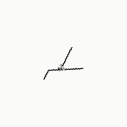 CCCCCCCC/C=C\CCCCCCCC(=O)OC(COCCCCCCCCCCCCCCCC)COC(=O)CCCCCCCCCCCCCCCCC